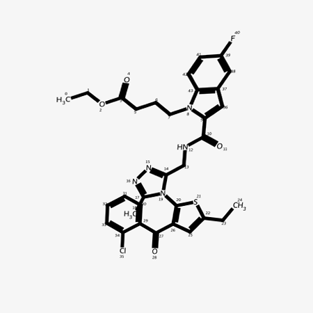 CCOC(=O)CCCn1c(C(=O)NCc2nnc(C)n2-c2sc(CC)cc2C(=O)c2ccccc2Cl)cc2cc(F)ccc21